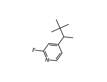 CC(c1ccnc(F)c1)C(C)(C)C